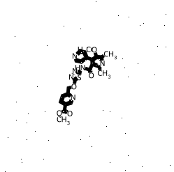 COC(=O)c1ccc(COc2nnc(NC(=O)c3c(C)nc(C)c(OC)c3-c3ccncc3)s2)nc1